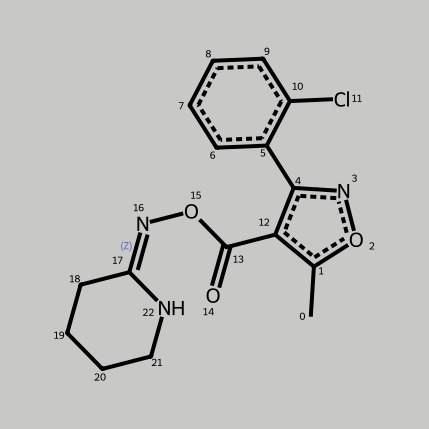 Cc1onc(-c2ccccc2Cl)c1C(=O)O/N=C1/CCCCN1